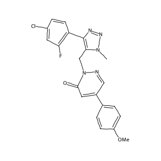 COc1ccc(-c2cnn(Cc3c(-c4ccc(Cl)cc4F)nnn3C)c(=O)c2)cc1